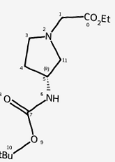 CCOC(=O)CN1CC[C@@H](NC(=O)OC(C)(C)C)C1